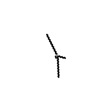 CCCCCCCCCCCCCCCCCCN1C=CN(CCCCCCCCCCCCCCC)C1CCCCCC